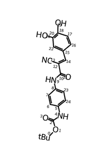 CC(C)(C)OC(=O)Nc1ccc(NC(=O)/C(C#N)=C/c2ccc(O)c(O)c2)cc1